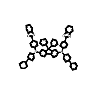 C1=CC(c2ccc(N(c3ccc(-c4nc5ccccc5o4)cc3)c3ccc4c(c3)C(c3ccccc3)(c3ccccc3)c3cc(N(c5ccc(-c6ccccc6)cc5)c5ccc(-c6nc7ccccc7o6)cc5)ccc3-4)cc2)=CCC1